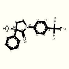 C[C@@]1(c2ccccc2)CCN(c2ccc(C(F)(F)F)cc2)C1=O